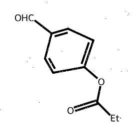 C[CH]C(=O)Oc1ccc(C=O)cc1